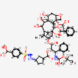 CC(O)O[C@]12COC1CC(O)C1(C)C(O)C(O)C3C(C)[C@H](OC(O)[C@@H](OC(O)C4CCC(NNS(=O)(=O)c5ccc(C(O)O)cc5)C4)[C@H](NC(O)OC(C)(C)C)c4ccccc4)CC(O)([C@H](OC(O)c4ccccc4)[C@H]12)C3(C)C